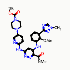 CNC(=O)c1nnc(Nc2ccc(N3CCN(C(=O)OC(C)(C)C)CC3)cn2)cc1Nc1cccc(-c2ncn(C)n2)c1OC